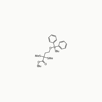 CSC(CCO[Si](c1ccccc1)(c1ccccc1)C(C)(C)C)(SC)C(=O)OC(C)(C)C